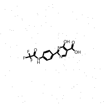 O=C(O)c1cnc(-c2ccc(NC(=O)C(F)(F)F)cc2)nc1O